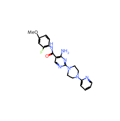 COc1ccc(NC(=O)c2cnc(N3CCN(c4ccccn4)CC3)nc2N)c(F)c1